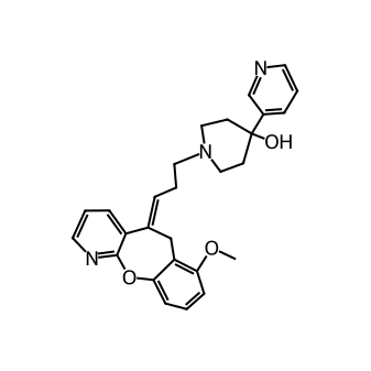 COc1cccc2c1CC(=CCCN1CCC(O)(c3cccnc3)CC1)c1cccnc1O2